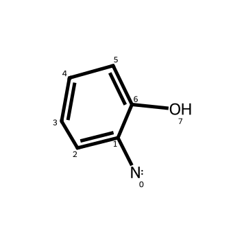 [N]c1ccccc1O